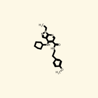 CCn1ncc2c(NC3CCCCC3)c(C(=O)NCCc3ccc(OC)cc3)cnc21